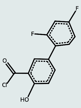 O=C(Cl)c1cc(-c2ccc(F)cc2F)ccc1O